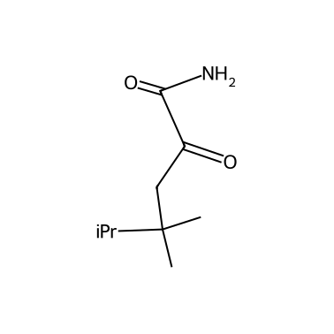 CC(C)C(C)(C)CC(=O)C(N)=O